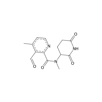 Cc1ccnc(C(=O)N(C)C2CCC(=O)NC2=O)c1C=O